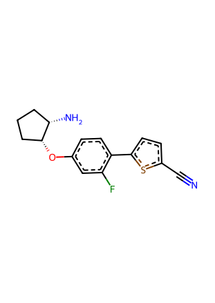 N#Cc1ccc(-c2ccc(O[C@@H]3CCC[C@@H]3N)cc2F)s1